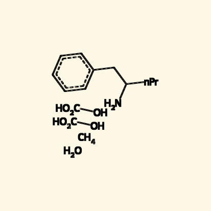 C.CCCC(N)Cc1ccccc1.O.O=C(O)O.O=C(O)O